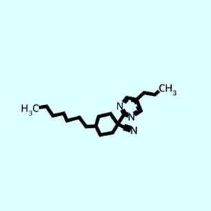 CCCCCCCC1CCC(C#N)(c2ncc(CCC)cn2)CC1